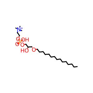 CCCCCCCCCCCCCCCOCC(O)COP(=O)(O)OCC[N+](C)(C)C